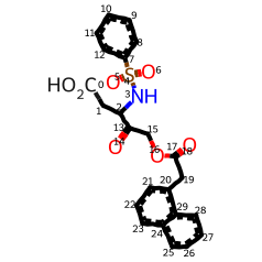 O=C(O)CC(NS(=O)(=O)c1ccccc1)C(=O)COC(=O)Cc1cccc2ccccc12